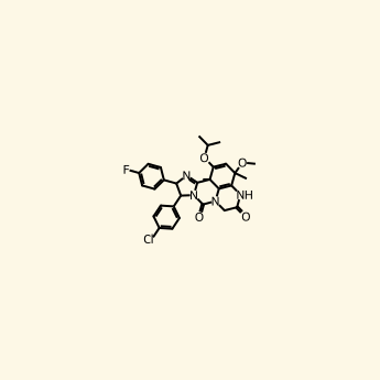 COC1(C)C=C(OC(C)C)C2(C)C3=NC(c4ccc(F)cc4)C(c4ccc(Cl)cc4)N3C(=O)N3CC(=O)NC1=C32